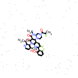 C=C(F)C(=O)N1CCN(c2c(C(=O)NC)c(=O)n(-c3c(C)ccnc3C(C)C)c3nc(-c4c(O)cccc4F)c(F)cc23)CC1